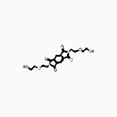 O=c1c2cc3c(=O)n(CCOCCO)c(=O)c3cc2c(=O)n1CCOCCO